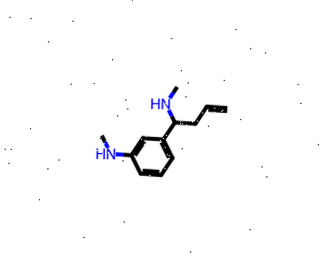 C=CCC(NC)c1cccc(NC)c1